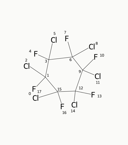 FC1(Cl)C(F)(Cl)C(F)(Cl)C(F)(Cl)C(F)(Cl)C1(F)Cl